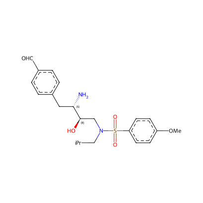 COc1ccc(S(=O)(=O)N(CC(C)C)C[C@@H](O)[C@@H](N)Cc2ccc(C=O)cc2)cc1